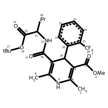 COC(=O)C1=C(C)NC(C)=C(C(=O)NC(C(=O)OC(C)(C)C)C(C)C)C1c1ccccc1C(F)(F)F